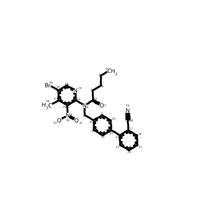 CCCCC(=O)N(Cc1ccc(-c2ccccc2C#N)cc1)c1ncc(Br)c(C)c1[N+](=O)[O-]